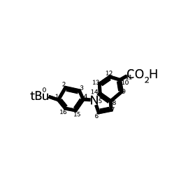 CC(C)(C)c1ccc(-n2ccc3cc(C(=O)O)ccc32)cc1